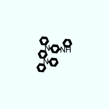 c1ccc(Nc2ccc(N(c3ccccc3)c3cccc(N(c4ccccc4)c4ccccc4)c3)cc2)cc1